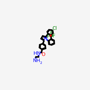 NCCNC(=O)c1ccc(-c2ccc(-c3ccc(Cl)cc3)n2-c2ccccc2C(F)(F)F)cc1